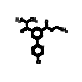 CC(C)C(=O)c1cc(C(=O)OCN)cc(-c2ccc(Cl)cn2)c1